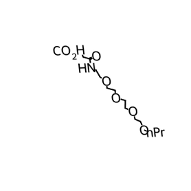 CCCOCCOCCOCCOCCNC(=O)CC(=O)O